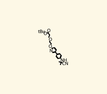 CC(C)(C#N)Nc1ccc(-c2ccc(OCCOCCC(=O)OC(C)(C)C)nc2)cc1